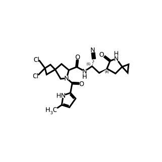 Cc1ccc(C(=O)N2CC3(CC2C(=O)N[C@H](C#N)C[C@@H]2CC4(CC4)NC2=O)CC(Cl)(Cl)C3)[nH]1